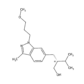 COCCCn1nc(C)c2ccc(C[C@@H](CO)C(C)C)cc21